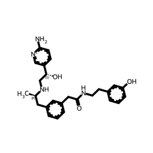 C[C@H](Cc1cccc(CC(=O)NCCc2cccc(O)c2)c1)NC[C@@H](O)c1ccc(N)nc1